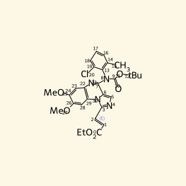 CCOC(=O)/C=C/c1ncc2c(N(C(=O)OC(C)(C)C)c3c(C)cccc3Cl)nc3cc(OC)c(OC)cc3n12